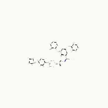 O=C(/C=C(/O)c1cc(Cc2c(F)cccc2F)cn(Cc2ccccc2F)c1=O)C(=O)N1CCN(c2ccc(-n3cccc3)cc2)CC1